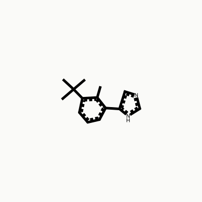 Cc1c(-c2cnc[nH]2)cccc1C(C)(C)C